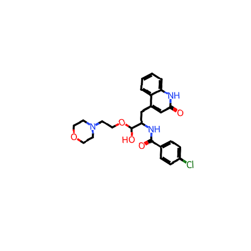 O=C(NC(Cc1cc(=O)[nH]c2ccccc12)C(O)OCCN1CCOCC1)c1ccc(Cl)cc1